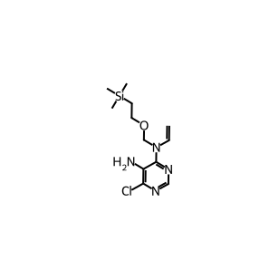 C=CN(COCC[Si](C)(C)C)c1ncnc(Cl)c1N